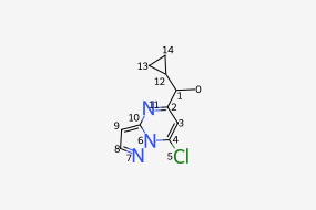 CC(c1cc(Cl)n2nccc2n1)C1CC1